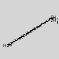 C[Si](C)(Cl)CCCCCCCCCCCCCCCCCCCCCCCCCCCCCCCCCCCCCCCO